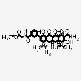 CCOC(=O)CNC(=O)c1cccc(-c2cc(N(C)C)c3c(c2O)C(=O)C2=C(O)[C@]4(O)C(=O)C(C(N)=O)=C(O)[C@H](N(C)C)[C@@H]4C[C@@H]2C3)c1